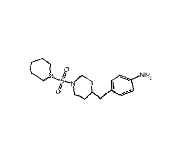 Nc1ccc(CC2CCN(S(=O)(=O)N3CCCCC3)CC2)cc1